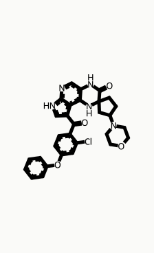 O=C(c1ccc(Oc2ccccc2)cc1Cl)c1c[nH]c2ncc3c(c12)NC1(CCC(N2CCOCC2)C1)C(=O)N3